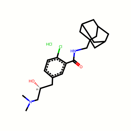 CN(C)C[C@H](O)Cc1ccc(Cl)c(C(=O)NCC23CC4CC(CC(C4)C2)C3)c1.Cl